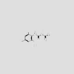 Cc1cc(Cl)cc(F)c1N(C)C(=O)NC(=N)N